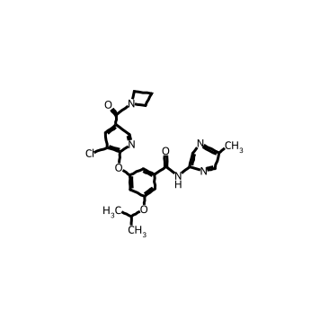 Cc1cnc(NC(=O)c2cc(Oc3ncc(C(=O)N4CCC4)cc3Cl)cc(OC(C)C)c2)cn1